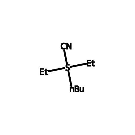 CCCCS(C#N)(CC)CC